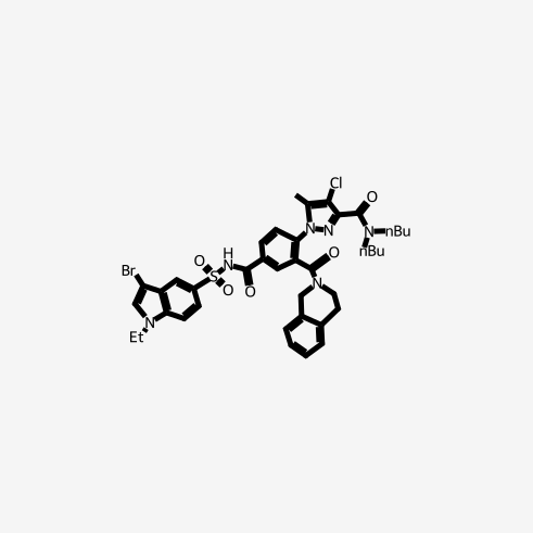 CCCCN(CCCC)C(=O)c1nn(-c2ccc(C(=O)NS(=O)(=O)c3ccc4c(c3)c(Br)cn4CC)cc2C(=O)N2CCc3ccccc3C2)c(C)c1Cl